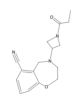 CCC(=O)N1CC(N2CCOc3cccc(C#N)c3C2)C1